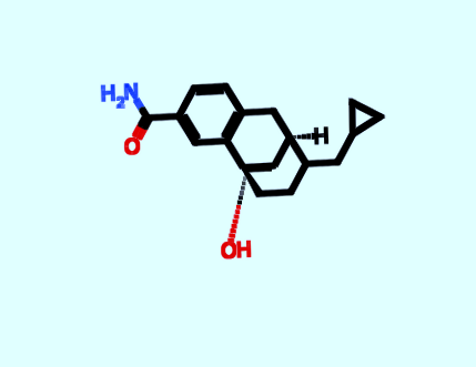 NC(=O)c1ccc2c(c1)[C@]13CCC(CC4CC4)[C@H](C2)C1CC[C@H](O)C3